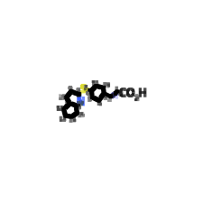 O=C(O)/C=C/c1ccc(Sc2ccc3ccccc3n2)cc1